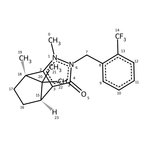 Cn1c2c(c(=O)n1Cc1ccccc1C(F)(F)F)[C@H]1CC[C@]2(C)C1(C)C